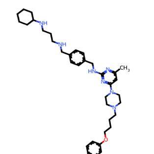 Cc1cc(N2CCN(CCCCOc3ccccc3)CC2)nc(NCc2ccc(CNCCCNC3CCCCC3)cc2)n1